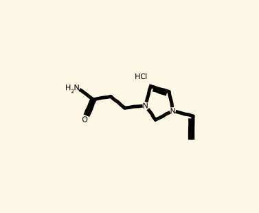 C=CN1C=CN(CCC(N)=O)C1.Cl